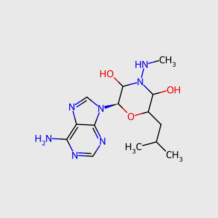 CNN1C(O)C(CC(C)C)O[C@@H](n2cnc3c(N)ncnc32)C1O